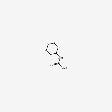 COC(=O)N[C]1CCCCC1